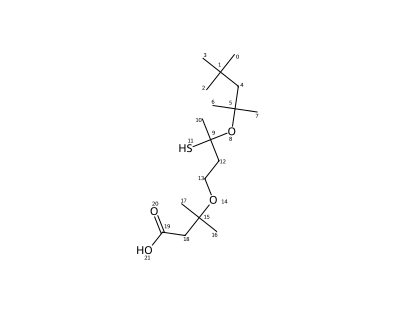 CC(C)(C)CC(C)(C)OC(C)(S)CCOC(C)(C)CC(=O)O